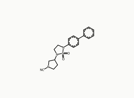 N#CN1CCC(N2CCN(c3ccc(-c4ccccc4)cc3)S2(=O)=O)C1